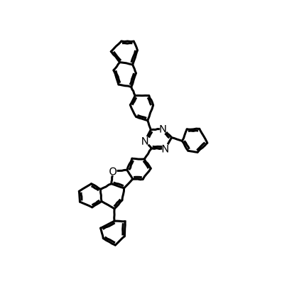 c1ccc(-c2nc(-c3ccc(-c4ccc5ccccc5c4)cc3)nc(-c3ccc4c(c3)oc3c5ccccc5c(-c5ccccc5)cc43)n2)cc1